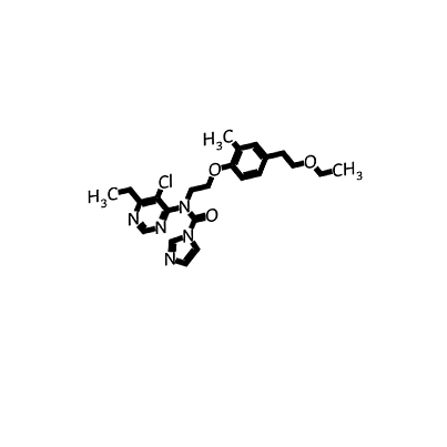 CCOCCc1ccc(OCCN(C(=O)n2ccnc2)c2ncnc(CC)c2Cl)c(C)c1